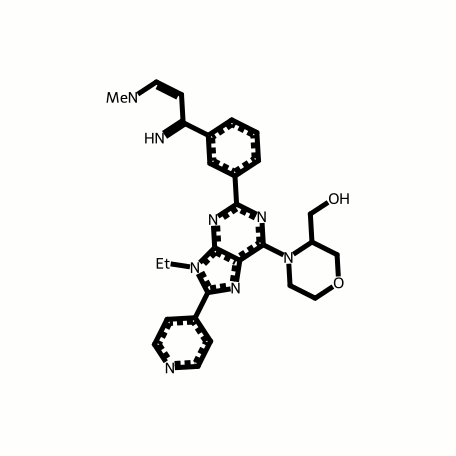 CCn1c(-c2ccncc2)nc2c(N3CCOCC3CO)nc(-c3cccc(C(=N)/C=C\NC)c3)nc21